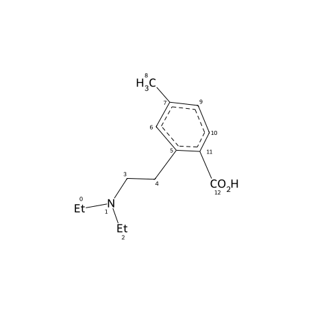 CCN(CC)CCc1cc(C)ccc1C(=O)O